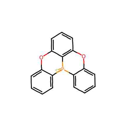 S=P12c3ccccc3Oc3cccc(c31)Oc1ccccc12